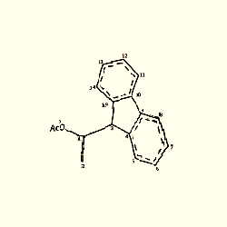 CC(=O)OC(I)C1c2ccccc2-c2ccccc21